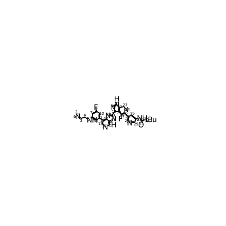 CN(C)CCNc1cc(F)cc(-c2cncc3[nH]c(-c4n[nH]c5cnc(-c6cncc(NC(=O)C(C)(C)C)c6)c(F)c45)nc23)c1